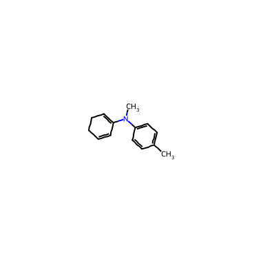 Cc1ccc(N(C)C2=CCCC=C2)cc1